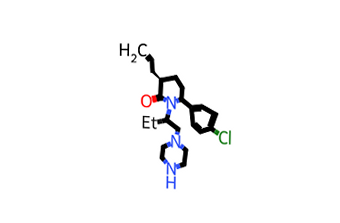 C=CC[C@H]1CCC(c2ccc(Cl)cc2)N(C(CC)CN2CCNCC2)C1=O